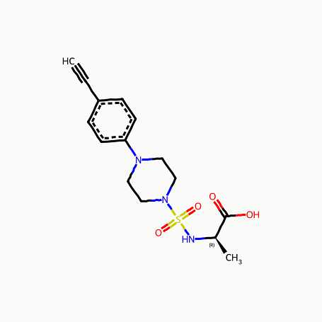 C#Cc1ccc(N2CCN(S(=O)(=O)N[C@H](C)C(=O)O)CC2)cc1